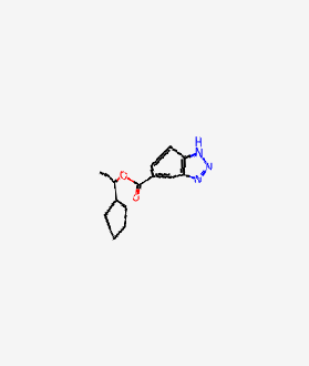 CC(OC(=O)c1ccc2[nH]nnc2c1)C1CCCC1